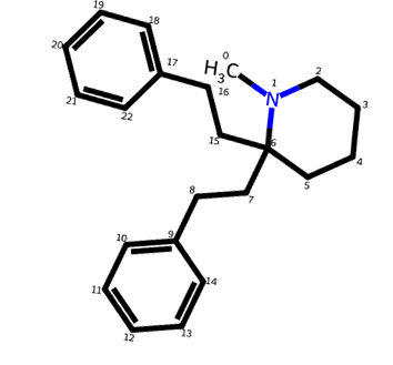 CN1CCCCC1(CCc1ccccc1)CCc1ccccc1